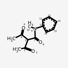 CC(=O)C(C(C)=O)C(=O)N(C)c1ccccc1